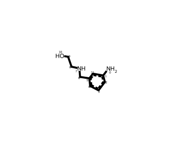 Nc1cc[c]c(CNCCO)c1